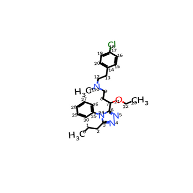 CCCc1nnc(C(CCN(C)CCc2ccc(Cl)cc2)OCC)n1-c1ccccc1